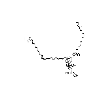 CCCCCC/C=C\CCCCCCCC(=O)OC[C@H](COP(=O)(O)OC[C@@H](O)CO)OC(=O)CCCCCCCCC/C=C\CCCCCCCCCC